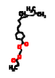 C=CC(=O)OCCOC(=O)C1CCC(CCCC(C)CCCC(C)C)CC1